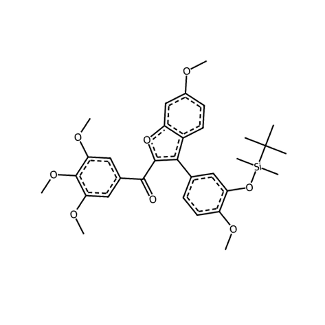 COc1ccc2c(-c3ccc(OC)c(O[Si](C)(C)C(C)(C)C)c3)c(C(=O)c3cc(OC)c(OC)c(OC)c3)oc2c1